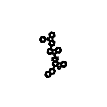 C1=C(c2cc3sc(-n4c5ccccc5c5c(-c6ccc7c8ccccc8n(-c8ccccc8)c7c6)cccc54)nc3c3c2oc2ccccc23)CCc2ccccc21